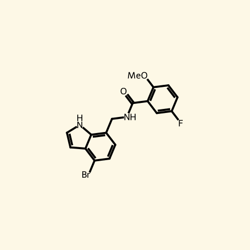 COc1ccc(F)cc1C(=O)NCc1ccc(Br)c2cc[nH]c12